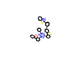 c1ccc(-c2nc(-c3cccc4c3oc3ccccc34)nc(-c3cccc4sc5cc(-c6cccc(-c7nc8ccccc8s7)c6)ccc5c34)n2)cc1